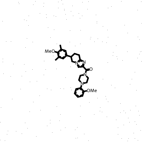 COc1ccccc1N1CCN(C(=O)c2cn3c(n2)CCC(c2cc(C)c(OC)c(C)c2)C3)CC1